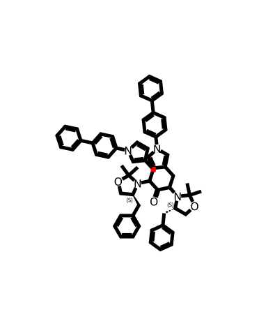 CC1(C)OC[C@H](Cc2ccccc2)N1C(Cc1ccn(-c2ccc(-c3ccccc3)cc2)c1)C(=O)C(Cc1ccn(-c2ccc(-c3ccccc3)cc2)c1)N1[C@@H](Cc2ccccc2)COC1(C)C